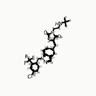 CC(C)(C)NCCN1C(=O)S/C(=C\c2ccc3c(cnn3Cc3ccc(Cl)cc3C(F)(F)F)c2)C1=O